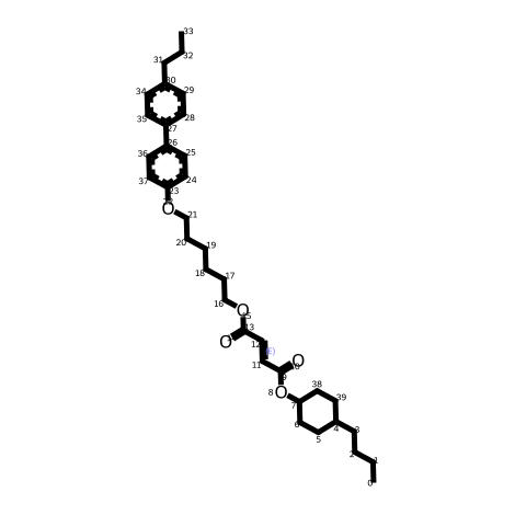 CCCCC1CCC(OC(=O)/C=C/C(=O)OCCCCCCOc2ccc(-c3ccc(CCC)cc3)cc2)CC1